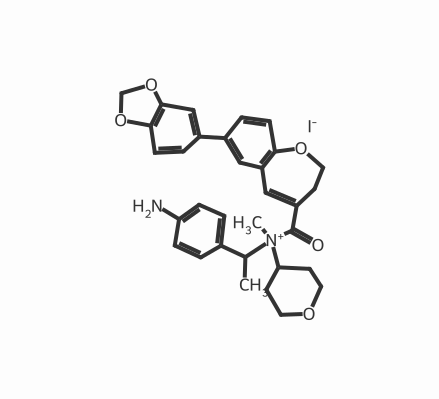 CC(c1ccc(N)cc1)[N+](C)(C(=O)C1=Cc2cc(-c3ccc4c(c3)OCO4)ccc2OCC1)C1CCOCC1.[I-]